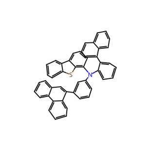 c1cc(-c2cc3ccccc3c3ccccc23)cc(N(c2ccccc2-c2cccc3ccccc23)c2cccc3c2sc2ccccc23)c1